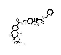 N=C(NC(=O)OCc1ccccc1)c1ccc(CNC(=O)c2ccc3c(c2)N[C@H](CC(=O)O)C(=O)NC3)cc1